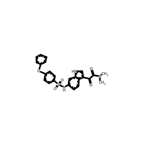 CN(C)C(=O)C(=O)c1c[nH]c2cc(NS(=O)(=O)c3ccc(Oc4ccccc4)cc3)ccc12